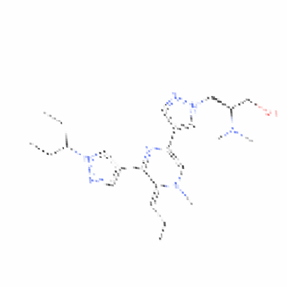 CC/C=C1/C(c2cnn(C(CC)CC)c2)=NC(c2cnn(C[C@@H](CO)N(C)C)c2)=CN1C